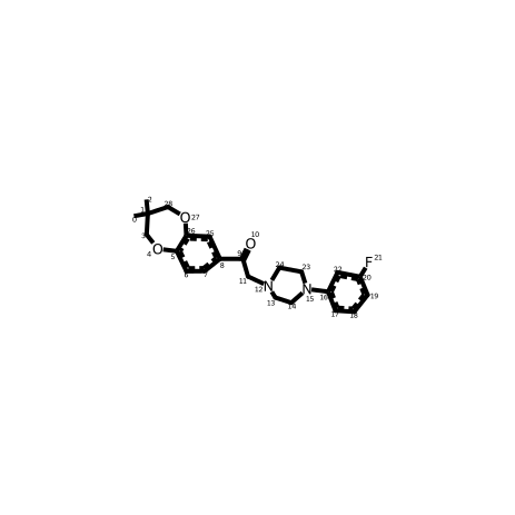 CC1(C)COc2ccc(C(=O)CN3CCN(c4cccc(F)c4)CC3)cc2OC1